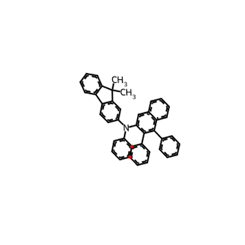 CC1(C)c2ccccc2-c2ccc(N(c3ccccc3)c3cc4ccccc4c(-c4ccccc4)c3-c3ccccc3)cc21